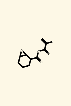 C=C(C)C(=O)OC(=O)C1CCCC2OC21